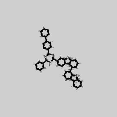 c1ccc(-c2ccc(C3=NC(c4ccccc4)NC(c4ccc5c(c4)sc4cccc(-c6cccc7c6sc6ccccc67)c45)=N3)cc2)cc1